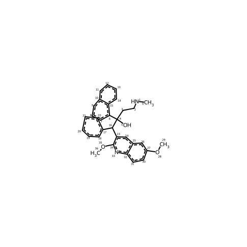 CNCCC(O)(c1cccc2ccccc12)C(c1ccccc1)c1cc2cc(OC)ccc2nc1OC